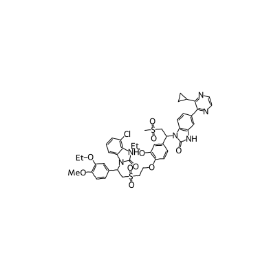 CCOc1cc(C(CS(=O)(=O)CCOc2ccc(C(CS(C)(=O)=O)n3c(=O)[nH]c4cc(-c5nccnc5C5CC5)ccc43)cc2OCC)n2c(=O)[nH]c3c(Cl)cccc32)ccc1OC